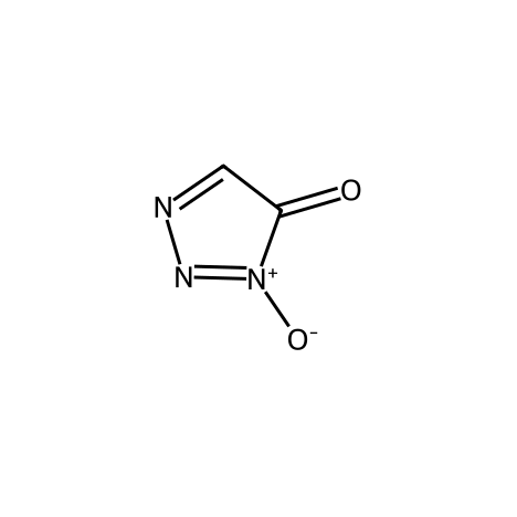 O=C1C=NN=[N+]1[O-]